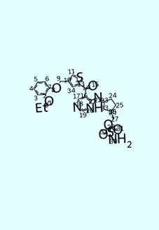 CCOc1ccccc1OCc1csc(C(=O)c2cncnc2NC2CC[C@@H](COS(N)(=O)=O)C2)c1